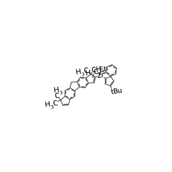 [CH2]=[Zr]([CH2]C)([C]1=CC(C(C)(C)C)=CC1)([C]1=Cc2cc3c(cc2C1(C)C)Cc1cc2c(cc1-3)C=CC2(C)C)[c]1ccccc1